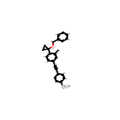 Cc1cc(C#Cc2ccc(C(=O)O)cc2)ccc1C1(OCc2ccccc2)CC1